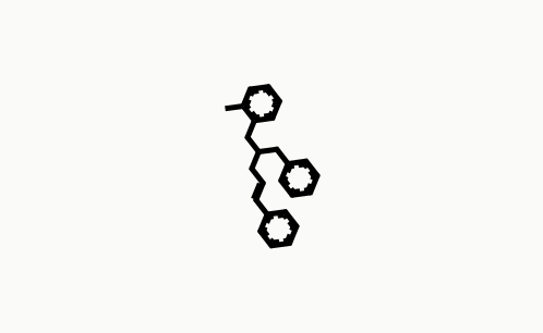 Cc1ccccc1CC(CC=Cc1ccccc1)Cc1ccccc1